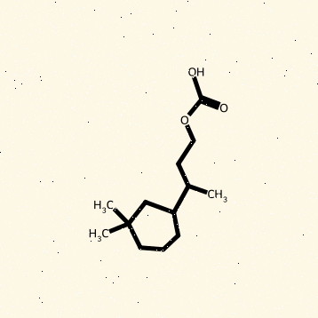 CC(CCOC(=O)O)C1CCCC(C)(C)C1